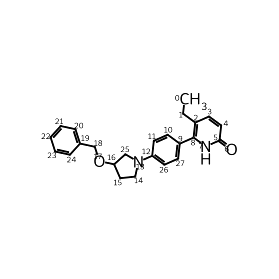 CCc1ccc(=O)[nH]c1-c1ccc(N2CCC(OCc3ccccc3)C2)cc1